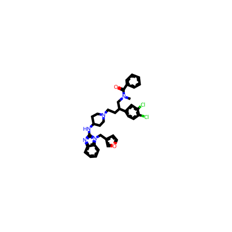 CN(CC(CCN1CCC(Nc2nc3ccccc3n2Cc2ccoc2)CC1)c1ccc(Cl)c(Cl)c1)C(=O)c1ccccc1